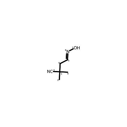 CC(C)(C#N)CC=NO